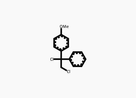 COc1ccc(C(Cl)(CCl)c2ccccc2)cc1